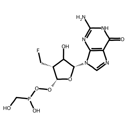 Nc1nc2c(ncn2[C@@H]2O[C@H](OOP(O)CO)[C@H](CF)C2O)c(=O)[nH]1